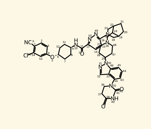 N#Cc1ccc(O[C@H]2CC[C@H](NC(=O)c3ccc(N4CC5CCC(C4)C5CN4CCC(n5ncc6c(N7CCC(=O)NC7=O)cccc65)CC4)nn3)CC2)cc1Cl